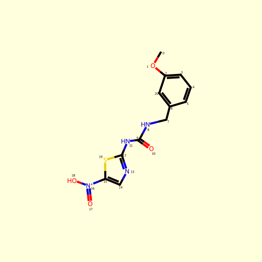 COc1cccc(CNC(=O)Nc2ncc([N+](=O)O)s2)c1